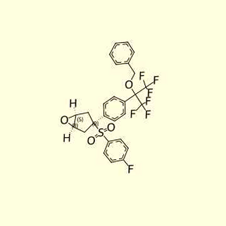 O=S(=O)(c1ccc(F)cc1)[C@]1(c2ccc(C(OCc3ccccc3)(C(F)(F)F)C(F)(F)F)cc2)C[C@@H]2O[C@@H]2C1